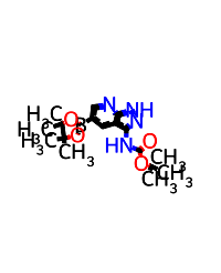 CC(C)(C)OC(=O)Nc1n[nH]c2ncc(B3OC(C)(C)C(C)(C)O3)cc12